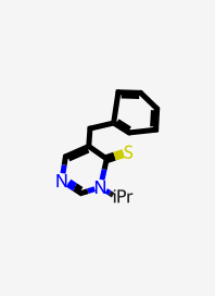 CC(C)n1cncc(Cc2ccccc2)c1=S